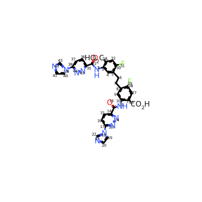 O=C(Nc1cc(CCc2cc(NC(=O)c3ccc(-n4ccnc4)nn3)c(C(=O)O)cc2F)c(F)cc1C(=O)O)c1ccc(-n2ccnc2)nn1